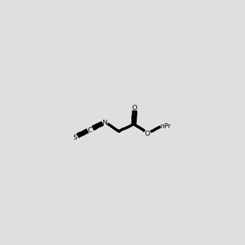 CCCOC(=O)CN=C=S